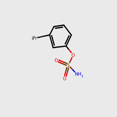 CC(C)c1cccc(OS(N)(=O)=O)c1